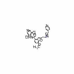 COc1ccc(C(=O)Nc2c(Cl)cncc2Cl)c2cc(C/C=N\OCc3ccncc3)oc12